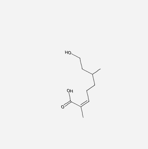 CC(=CCCC(C)CCO)C(=O)O